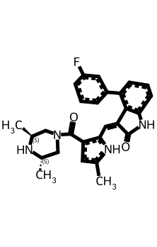 Cc1cc(C(=O)N2C[C@H](C)N[C@@H](C)C2)c(C=C2C(=O)Nc3cccc(-c4cccc(F)c4)c32)[nH]1